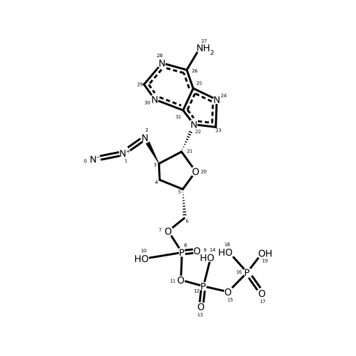 [N-]=[N+]=N[C@@H]1C[C@@H](COP(=O)(O)OP(=O)(O)OP(=O)(O)O)O[C@H]1n1cnc2c(N)ncnc21